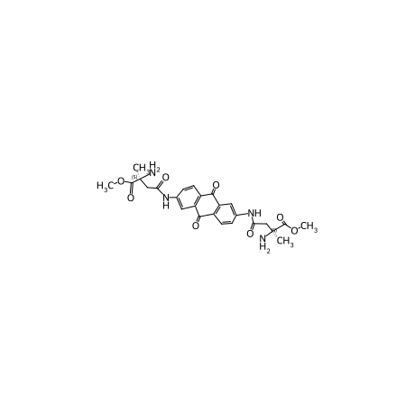 COC(=O)[C@@](C)(N)CC(=O)Nc1ccc2c(c1)C(=O)c1ccc(NC(=O)C[C@](C)(N)C(=O)OC)cc1C2=O